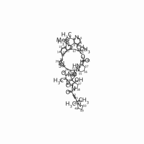 CO[C@@H](C)c1ncccc1-c1c2c3cc(ccc3n1C)-c1csc(n1)C[C@H](NC(=O)[C@H](C)N(C)C(=O)C1(O)CCN(C(=O)C#CC(C)(C)N3CCC3)C1)C(=O)N1CCC[C@H](N1)C(=O)OCC(C)(C)C2